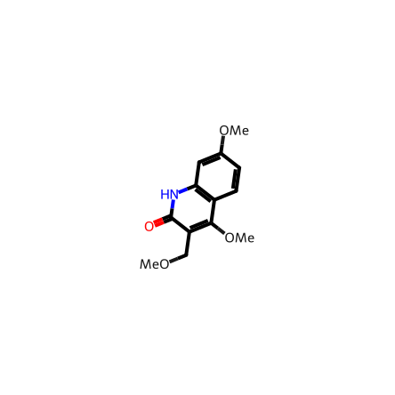 COCc1c(OC)c2ccc(OC)cc2[nH]c1=O